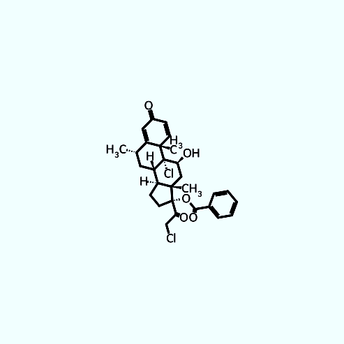 C[C@H]1C[C@H]2[C@@H]3CC[C@](OC(=O)c4ccccc4)(C(=O)CCl)[C@@]3(C)C[C@H](O)[C@]2(Cl)[C@@]2(C)C=CC(=O)C=C12